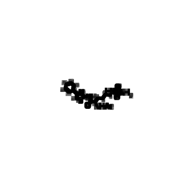 CC(=O)N[C@@H](CCCCNS(N)(=O)=O)C(=O)Nc1nc(-c2ccccc2)cs1